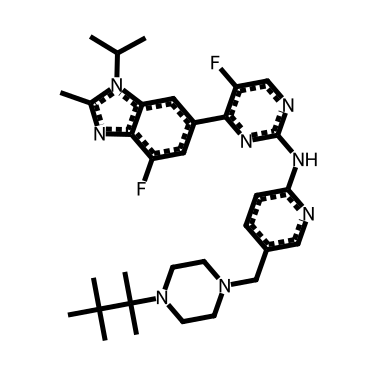 Cc1nc2c(F)cc(-c3nc(Nc4ccc(CN5CCN(C(C)(C)C(C)(C)C)CC5)cn4)ncc3F)cc2n1C(C)C